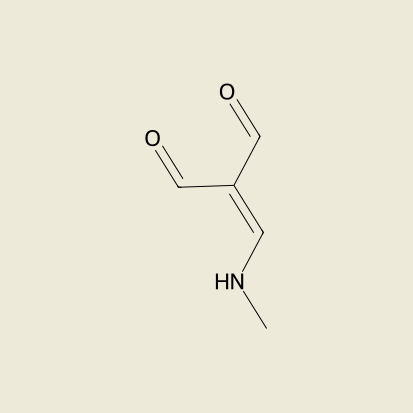 CNC=C(C=O)C=O